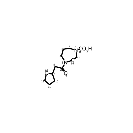 O=C(O)N1CCCN(C(=O)CC2CCCO2)CC1